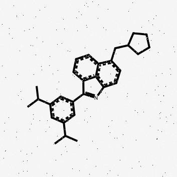 CC(C)c1cc(C2=Nc3ccc(CC4CCCC4)c4cccc2c34)cc(C(C)C)c1